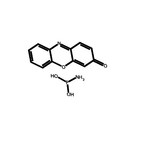 NP(O)O.O=c1ccc2nc3ccccc3oc-2c1